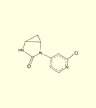 O=C1NC2CC2N1c1ccnc(Cl)c1